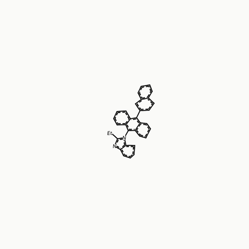 CCc1nc2ccccc2n1-c1c2ccccc2c(-c2ccc3ccccc3c2)c2ccccc12